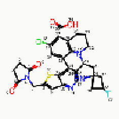 O=C1CCC(=O)N1Cc1cc2nccc(-c3cc(Cl)cc4c3N([C@@H]3CNC5(CC(F)C5)C3)CCC4)c2s1.O=CO